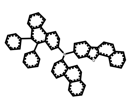 c1ccc(-c2c(-c3ccccc3)c3cc(N(c4ccc5c(c4)oc4c6ccccc6ccc54)c4cccc5c4ccc4ccccc45)ccc3c3ccccc23)cc1